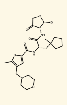 CC[C@@H]1OCC(=O)[C@H]1NC(=O)[C@H](CC1(C)CCCC1)NC(=O)c1cc(CN2CCOCC2)c(C)o1